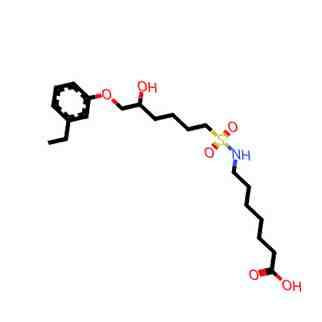 CCc1cccc(OCC(O)CCCCS(=O)(=O)NCCCCCCC(=O)O)c1